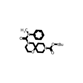 CN(C(=O)N1CCOC2(CCN(C(=O)OC(C)(C)C)CC2)C1)c1ccccc1